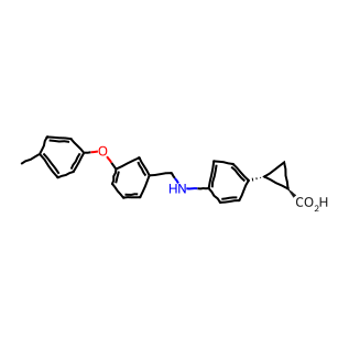 Cc1ccc(Oc2cccc(CNc3ccc([C@@H]4C[C@H]4C(=O)O)cc3)c2)cc1